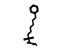 NNS(=O)(=O)CCCCCCc1ccccc1